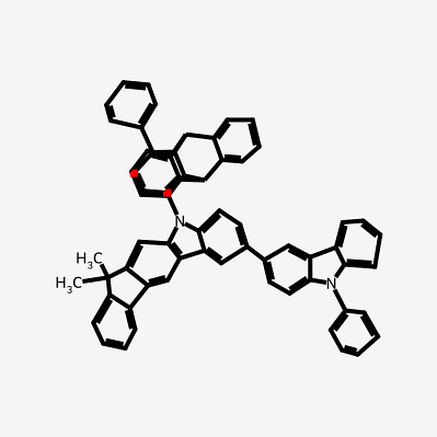 CC1(C)c2ccccc2-c2cc3c4cc(-c5ccc6c(c5)c5ccccc5n6-c5ccccc5)ccc4n(-c4ccc(-c5ccccc5)c5c4C4c6ccccc6C5c5ccccc54)c3cc21